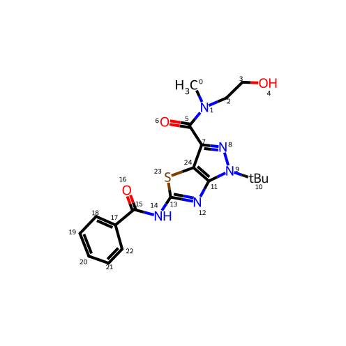 CN(CCO)C(=O)c1nn(C(C)(C)C)c2nc(NC(=O)c3ccccc3)sc12